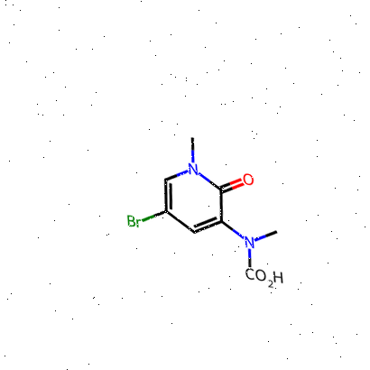 CN(C(=O)O)c1cc(Br)cn(C)c1=O